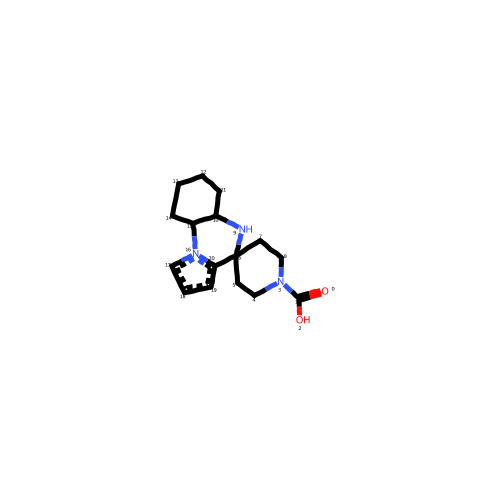 O=C(O)N1CCC2(CC1)NC1CCCCC1n1cccc12